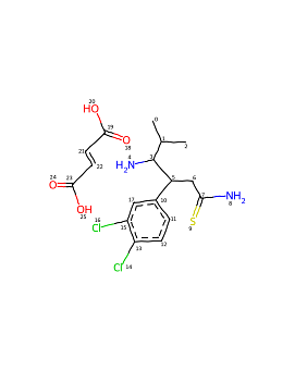 CC(C)C(N)C(CC(N)=S)c1ccc(Cl)c(Cl)c1.O=C(O)C=CC(=O)O